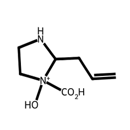 C=CCC1NCC[N+]1(O)C(=O)O